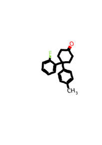 Cc1ccc(C2(c3ccccc3F)CCC(=O)CC2)cc1